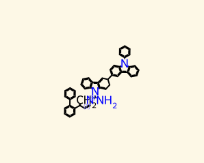 C=C(/C=C\N=C(/N)n1c2c(c3ccccc31)=CC(c1ccc3c(c1)c1ccccc1n3-c1ccccc1)CC=2)c1ccccc1-c1ccccc1